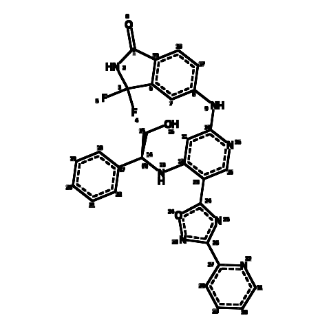 O=C1NC(F)(F)c2cc(Nc3cc(N[C@H](CO)c4ccccc4)c(-c4nc(-c5ccccn5)no4)cn3)ccc21